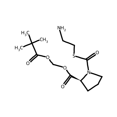 CC(C)(C)C(=O)OCOC(=O)[C@@H]1CCCN1C(=O)SCCN